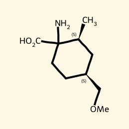 COC[C@H]1CCC(N)(C(=O)O)[C@@H](C)C1